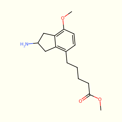 COC(=O)CCCCc1ccc(OC)c2c1CC(N)C2